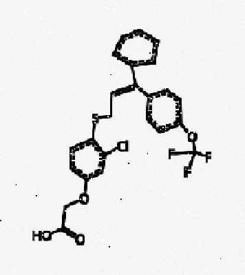 O=C(O)COc1ccc(SCC=C(c2ccccc2)c2ccc(OC(F)(F)F)cc2)c(Cl)c1